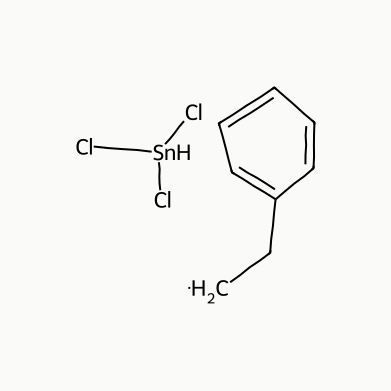 [CH2]Cc1ccccc1.[Cl][SnH]([Cl])[Cl]